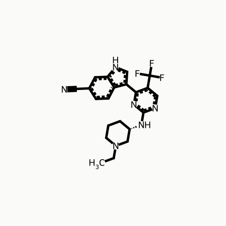 CCN1CCC[C@H](Nc2ncc(C(F)(F)F)c(-c3c[nH]c4cc(C#N)ccc34)n2)C1